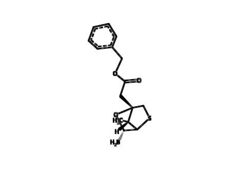 B[C@@H]1O[C@]2(CC(=O)OCc3ccccc3)CSC1[C@@H]2C